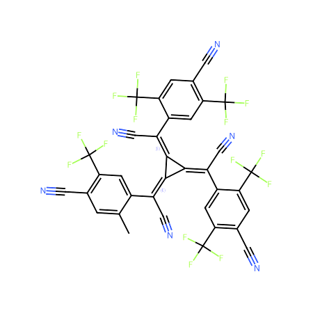 Cc1cc(C#N)c(C(F)(F)F)cc1/C(C#N)=C1/C(=C(C#N)c2cc(C(F)(F)F)c(C#N)cc2C(F)(F)F)/C1=C(/C#N)c1cc(C(F)(F)F)c(C#N)cc1C(F)(F)F